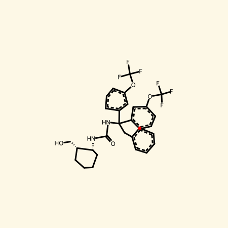 O=C(N[C@@H]1CCCC[C@@H]1CO)NC(Cc1ccccc1)(c1cccc(OC(F)(F)F)c1)c1cccc(OC(F)(F)F)c1